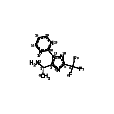 C[C@H](N)c1nc(C(F)(F)F)nn1-c1ncccn1